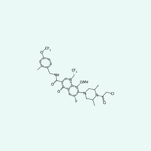 COc1c(N2CC(C)N(C(=O)CCl)C(C)C2)c(F)cc2c(=O)c(C(=O)NCc3ccc(OC(F)(F)F)cc3C)cn(CC(F)(F)F)c12